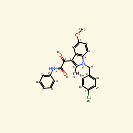 CCOc1ccc2c(c1)c(C(=O)C(=O)Nc1ccccc1)c(C)n2Cc1ccc(Cl)cc1